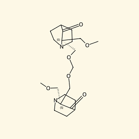 COC[C@]1(COCOC[C@@]2(COC)C(=O)C3CCN2CC3)C(=O)C2CCN1CC2